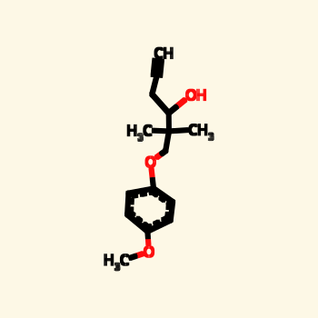 C#CCC(O)C(C)(C)COc1ccc(OC)cc1